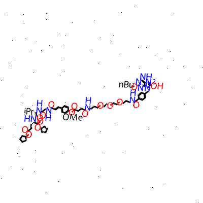 CCCCOc1nc(N)c2nc(O)n(Cc3ccc(C(=O)NCCCOCCOCCOCCCNC(=O)CCC(=O)Oc4ccc(/C=C/C(=O)NCC(=O)N[C@H](C(=O)N[C@H](CCC(=O)OC5CCCC5)C(=O)OC5CCCC5)C(C)C)cc4OC)cc3)c2n1